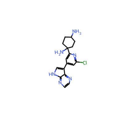 NC1CCC(N)(c2cc(-c3c[nH]c4nccnc34)cc(Cl)n2)CC1